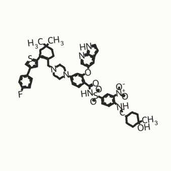 CC1(C)CCC(CN2CCN(c3ccc(C(=O)NS(=O)(=O)c4ccc(NCC5CCC(C)(O)CC5)c([N+](=O)[O-])c4)c(Oc4cnc5[nH]ccc5c4)c3)CC2)=C(c2cc(-c3ccc(F)cc3)cs2)C1